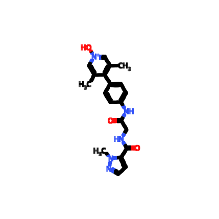 Cc1c[n+](O)cc(C)c1-c1ccc(NC(=O)CNC(=O)c2ccnn2C)cc1